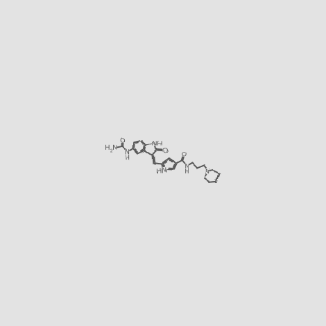 NC(=O)Nc1ccc2c(c1)/C(=C/c1cc(C(=O)NCCCN3CCCCC3)c[nH]1)C(=O)N2